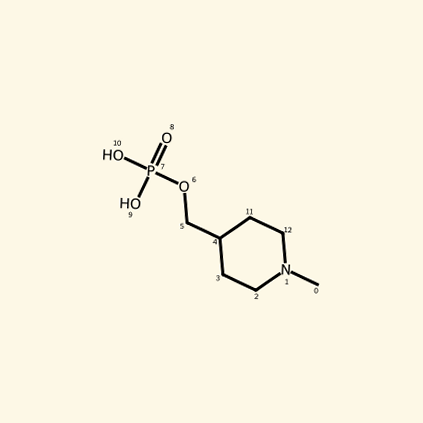 CN1CCC(COP(=O)(O)O)CC1